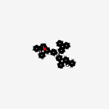 c1cc(-c2ccc(N(c3ccc(-c4ccccc4-c4cccc5c4oc4ccccc45)cc3)c3ccc4c5ccccc5c5ccccc5c4c3)cc2)cc(-c2ccccc2-n2c3ccccc3c3ccccc32)c1